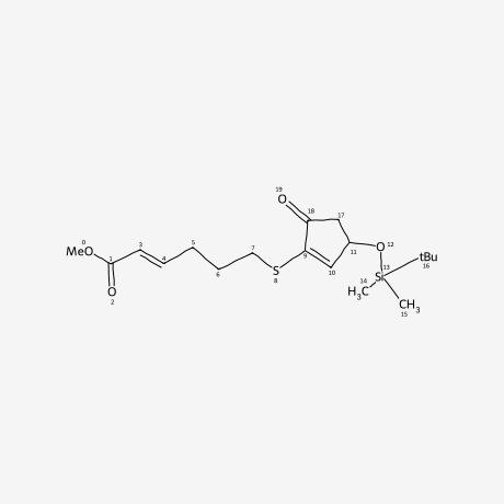 COC(=O)C=CCCCSC1=CC(O[Si](C)(C)C(C)(C)C)CC1=O